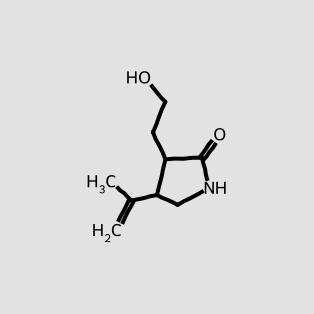 C=C(C)C1CNC(=O)C1CCO